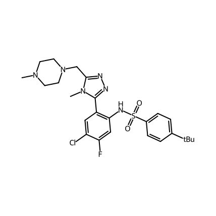 CN1CCN(Cc2nnc(-c3cc(Cl)c(F)cc3NS(=O)(=O)c3ccc(C(C)(C)C)cc3)n2C)CC1